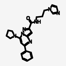 O=C(NCCCn1ccnc1)c1cc2nc(-c3ccccc3)cc(N3CCCC3)n2n1